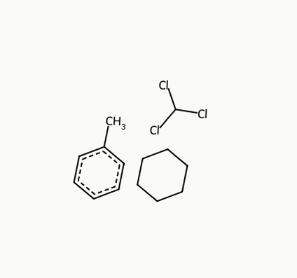 C1CCCCC1.Cc1ccccc1.ClC(Cl)Cl